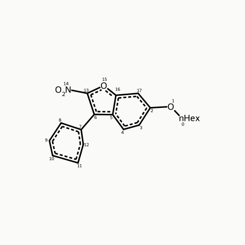 CCCCCCOc1ccc2c(-c3ccccc3)c([N+](=O)[O-])oc2c1